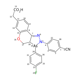 N#Cc1ccc(N2N=C3c4ccc(CC(=O)O)cc4OCC3[As]2c2ccc(F)cc2)cc1